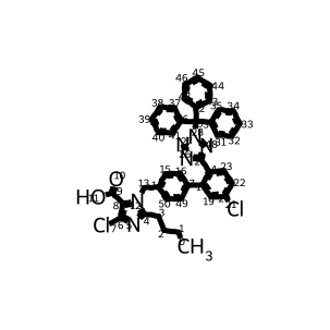 CCCCc1nc(Cl)c(C(=O)O)n1Cc1ccc(-c2cc(Cl)ccc2-c2nnn(C(c3ccccc3)(c3ccccc3)c3ccccc3)n2)cc1